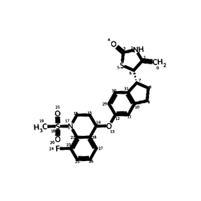 C=C1NC(=O)SC1[C@@H]1CCc2cc(OC3CCN(S(C)(=O)=O)c4c(F)cccc43)ccc21